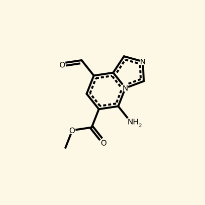 COC(=O)c1cc(C=O)c2cncn2c1N